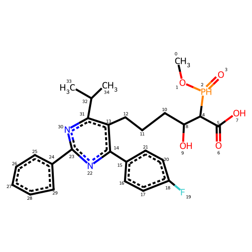 CO[PH](=O)C(C(=O)O)C(O)CCCc1c(-c2ccc(F)cc2)nc(-c2ccccc2)nc1C(C)C